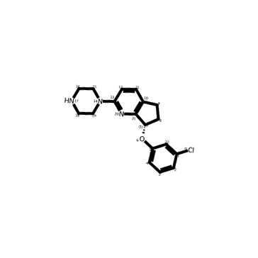 Clc1cccc(O[C@H]2CCc3ccc(N4CCNCC4)nc32)c1